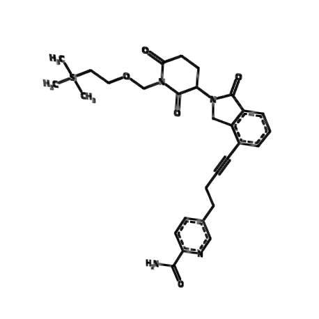 C[Si](C)(C)CCOCN1C(=O)CCC(N2Cc3c(C#CCCc4ccc(C(N)=O)nc4)cccc3C2=O)C1=O